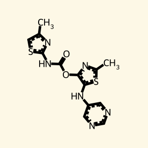 Cc1csc(NC(=O)Oc2nc(C)sc2Nc2cncnc2)n1